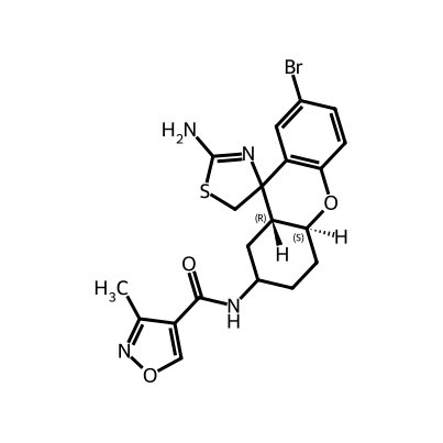 Cc1nocc1C(=O)NC1CC[C@@H]2Oc3ccc(Br)cc3C3(CSC(N)=N3)[C@H]2C1